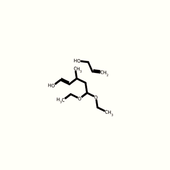 C=CCO.CCOC(CC(C)C=CO)OCC